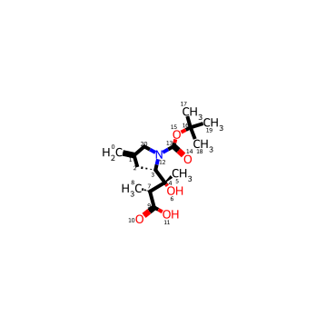 C=C1C[C@@H]([C@](C)(O)[C@@H](C)C(=O)O)N(C(=O)OC(C)(C)C)C1